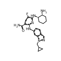 NC(=O)c1cc(F)c(N[C@@H]2CCCC[C@@H]2N)nc1Nc1ccc2cnn(CC3CC3)c2c1